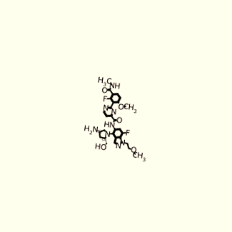 CNC(=O)c1ccc(OC)c(-c2nccc(C(=O)Nc3cc(F)c4c(cnn4CCOC)c3N3C[C@@H](N)C[C@H]3CO)n2)c1F